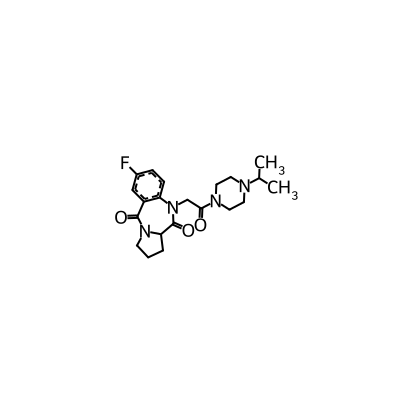 CC(C)N1CCN(C(=O)CN2C(=O)C3CCCN3C(=O)c3cc(F)ccc32)CC1